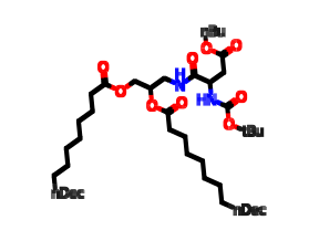 CCCCCCCCCCCCCCCCCC(=O)OCC(CNC(=O)C(CC(=O)OCCCC)NC(=O)OC(C)(C)C)OC(=O)CCCCCCCCCCCCCCCCC